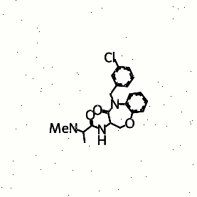 CNC(C)C(=O)NC1COc2ccccc2N(Cc2cccc(Cl)c2)C1=O